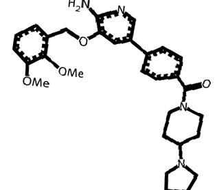 COc1cccc(COc2cc(-c3ccc(C(=O)N4CCC(N5CCCC5)CC4)cc3)cnc2N)c1OC